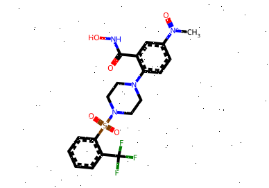 C[N+](=O)c1ccc(N2CCN(S(=O)(=O)c3ccccc3C(F)(F)F)CC2)c(C(=O)NO)c1